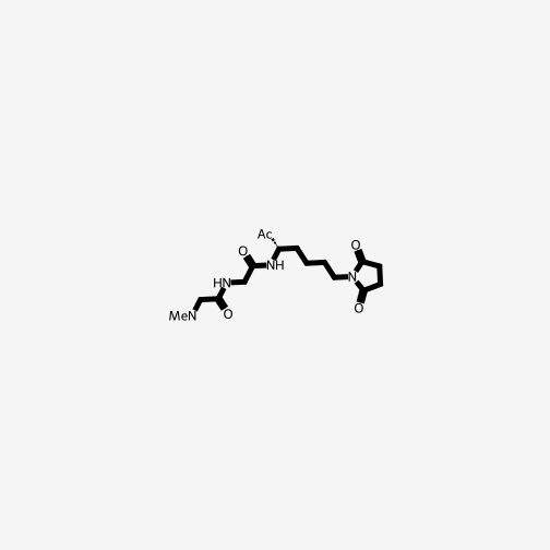 CNCC(=O)NCC(=O)N[C@@H](CCCCN1C(=O)CCC1=O)C(C)=O